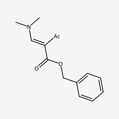 CC(=O)/C(=C\N(C)C)C(=O)OCc1ccccc1